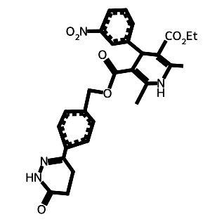 CCOC(=O)C1=C(C)NC(C)=C(C(=O)OCc2ccc(C3=NNC(=O)CC3)cc2)C1c1cccc([N+](=O)[O-])c1